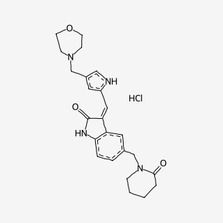 Cl.O=C1Nc2ccc(CN3CCCCC3=O)cc2C1=Cc1cc(CN2CCOCC2)c[nH]1